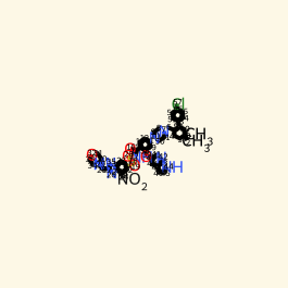 CC1(C)CCC(CN2CCN(c3ccc(C(=O)NS(=O)(=O)c4cc([N+](=O)[O-])c5nc(CN6CCOCC6)[nH]c5c4)c(Oc4cnc5[nH]ccc5c4)c3)CC2)=C(c2ccc(Cl)cc2)C1